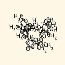 C=C1[C@@H](CC)OC(=O)[C@H](C)[C@@H](OC2C[C@@](C)(OC)[C@@H](O)[C@H](C)O2)[C@H](C)[C@@H](OC2O[C@H](C)C[C@H](N(C)C)[C@H]2O)[C@@](C)(O)C[C@@H](C)[C@@H]2OC(=O)O[C@@H]1[C@H]2C